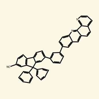 N#Cc1ccc2c(c1)C(c1ccccc1)(c1ccccc1)c1cc(-c3cccc(-c4ccc5nc6c(ccc7cccnc76)cc5c4)c3)ccc1-2